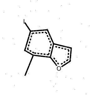 Cc1cc(I)cc2ccoc12